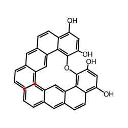 Oc1cc(O)c2ccc3cc4ccccc4cc3c2c1Oc1c(O)cc(O)c2ccc3cc4ccccc4cc3c12